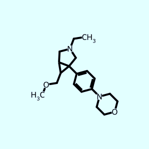 CCN1CC2C(COC)C2(c2ccc(N3CCOCC3)cc2)C1